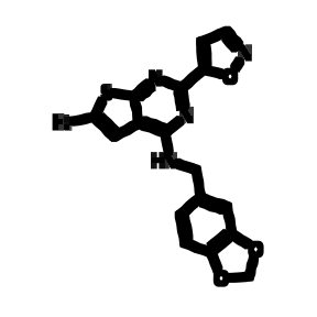 CCc1cc2c(NCc3ccc4c(c3)OCO4)nc(-c3ccno3)nc2s1